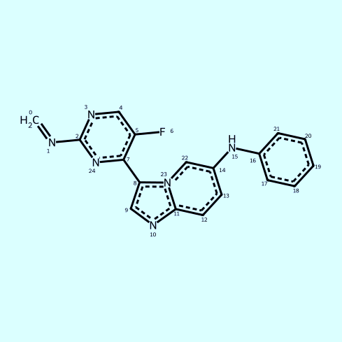 C=Nc1ncc(F)c(-c2cnc3ccc(Nc4ccccc4)cn23)n1